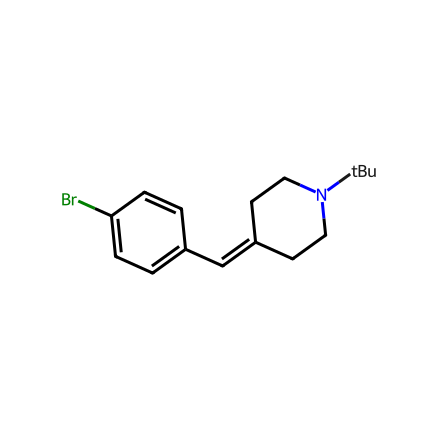 CC(C)(C)N1CCC(=Cc2ccc(Br)cc2)CC1